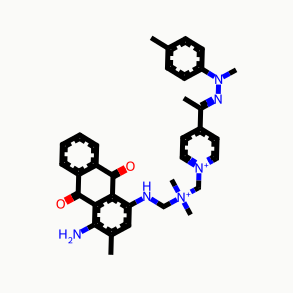 C/C(=N\N(C)c1ccc(C)cc1)c1cc[n+](C[N+](C)(C)CNc2cc(C)c(N)c3c2C(=O)c2ccccc2C3=O)cc1